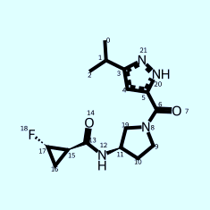 CC(C)c1cc(C(=O)N2CC[C@@H](NC(=O)[C@H]3C[C@@H]3F)C2)[nH]n1